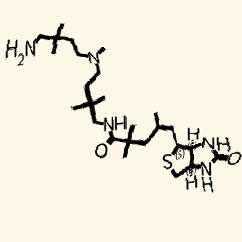 CC(C[C@@H]1SC[C@@H]2NC(=O)N[C@@H]21)CC(C)(C)C(=O)NCC(C)(C)CCN(C)CCC(C)(C)CN